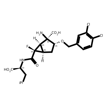 CC(C)C[C@H](NC(=O)[C@@]1(F)[C@@H]2C[C@@H](OCc3ccc(Cl)c(Cl)c3)[C@@](N)(C(=O)O)[C@@H]21)C(=O)O